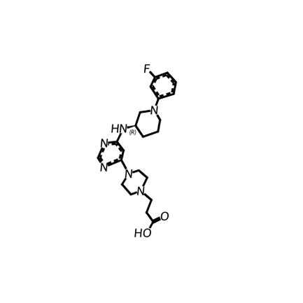 O=C(O)CCN1CCN(c2cc(N[C@@H]3CCCN(c4cccc(F)c4)C3)ncn2)CC1